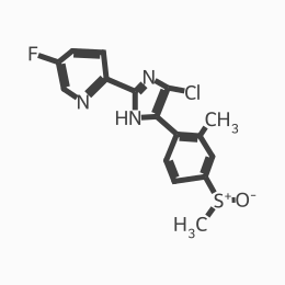 Cc1cc([S+](C)[O-])ccc1-c1[nH]c(-c2ccc(F)cn2)nc1Cl